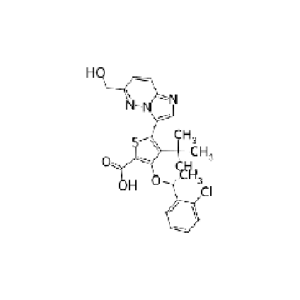 C[C@@H](Oc1c(C(=O)O)sc(-c2cnc3ccc(CO)nn23)c1C(C)(C)C)c1ccccc1Cl